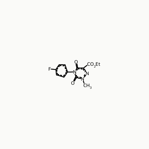 CCOC(=O)c1nn(C)c(=O)n(-c2ccc(F)cc2)c1=O